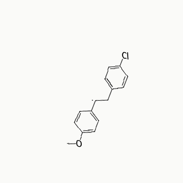 COc1ccc([CH]Cc2ccc(Cl)cc2)cc1